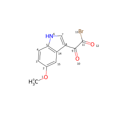 COc1ccc2[nH]cc(C(=O)C(=O)Br)c2c1